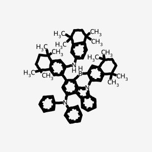 CC1(C)CCC(C)(C)c2cc(Nc3cc4c(cc3-c3cc(N(c5ccccc5)c5ccccc5)c5c6ccccc6n6c5c3Bc3cc5c(cc3-6)C(C)(C)CCC5(C)C)C(C)(C)CCC4(C)C)ccc21